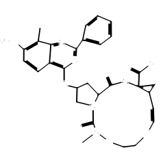 COc1ccc2c(OC3CC4C(=O)NC5(C(N)=O)CC5C=CCCCCN(C)C(=O)N4C3)nc(-c3ccccc3)nc2c1C